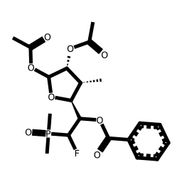 CC(=O)OC1O[C@H](C(OC(=O)c2ccccc2)C(F)P(C)(C)=O)[C@@H](C)[C@H]1OC(C)=O